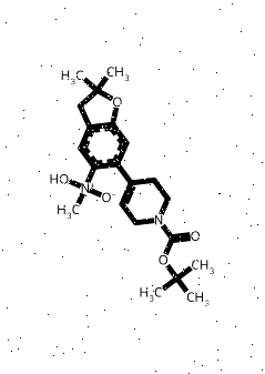 CC(C)(C)OC(=O)N1CC=C(c2cc3c(cc2[N+](C)([O-])O)CC(C)(C)O3)CC1